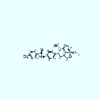 CC(C)(C)OC(=O)N1C(CCc2ccc(NC(=O)c3ccc(Cl)nc3)cc2)COC1(C)C